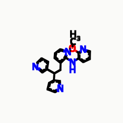 COc1ncccc1Nc1ncccc1CC(c1cccnc1)c1cccnc1